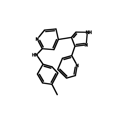 Cc1ccc(Nc2cc(-c3c[nH]nc3-c3ccccn3)ccn2)cc1